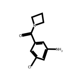 Nc1cc(Cl)cc(C(=O)N2CCC2)c1